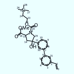 C=Cc1cccc(-c2cccc(C3(O)CC(C(=O)OC)N(C(=O)OCC[Si](C)(C)C)C3)c2)c1